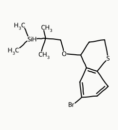 C[SiH](C)C(C)(C)COC1CCSc2ccc(Br)cc21